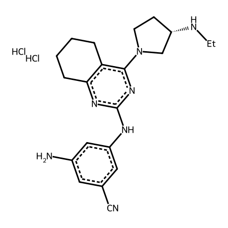 CCN[C@H]1CCN(c2nc(Nc3cc(N)cc(C#N)c3)nc3c2CCCC3)C1.Cl.Cl